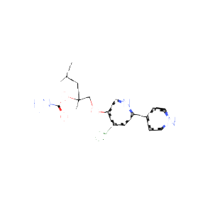 CC(C)CC(C)(COc1cnc(-c2ccncc2)cc1Cl)OC(N)=O